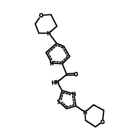 O=C(Nc1nc(N2CCOCC2)cs1)c1ccc(N2CCOCC2)cn1